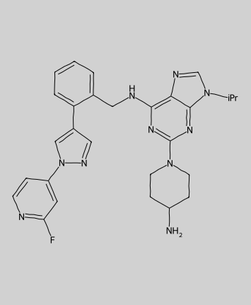 CC(C)n1cnc2c(NCc3ccccc3-c3cnn(-c4ccnc(F)c4)c3)nc(N3CCC(N)CC3)nc21